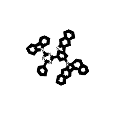 c1ccc(-c2nc(-c3cc(-n4c5cc6ccccc6cc5c5c6ccccc6ccc54)cc4c3sc3cc5ccccc5cc34)nc(-n3c4ccccc4c4ccccc43)n2)cc1